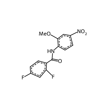 COc1cc([N+](=O)[O-])ccc1NC(=O)c1ccc(F)cc1F